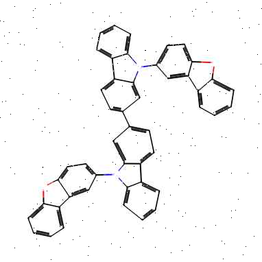 c1ccc2c(c1)oc1ccc(-n3c4ccccc4c4ccc(-c5ccc6c7ccccc7n(-c7ccc8oc9ccccc9c8c7)c6c5)cc43)cc12